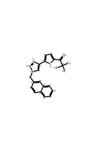 O=C(c1ccc(-c2cn(Cc3ccc4ccccc4c3)nn2)s1)C(F)(F)F